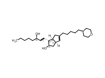 CCCCC[C@@H](O)/C=C/[C@@H]1[C@H]2CC(CCCCCN3CCOCC3)=C[C@H]2C[C@H]1O